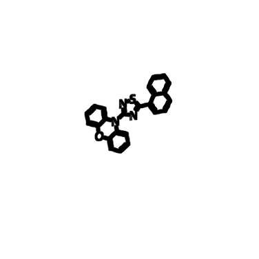 c1ccc2c(c1)Oc1ccccc1N2c1nsc(-c2cccc3ccccc23)n1